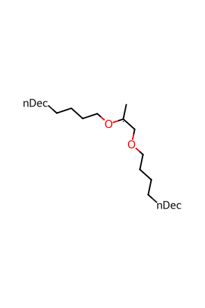 CCCCCCCCCCCCCCOC[C](C)OCCCCCCCCCCCCCC